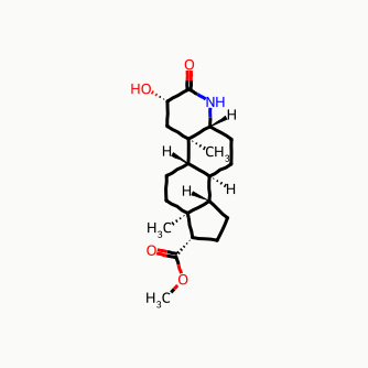 COC(=O)[C@H]1CC[C@H]2[C@@H]3CC[C@H]4NC(=O)[C@@H](O)C[C@]4(C)[C@H]3CC[C@]12C